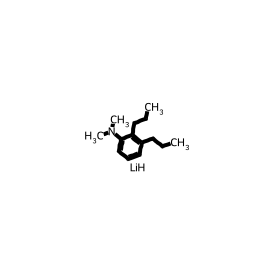 CCCc1cccc(N(C)C)c1CCC.[LiH]